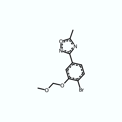 COCOc1cc(-c2noc(C)n2)ccc1Br